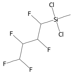 C[Si](Cl)(Cl)C(F)C(F)C(F)C(F)F